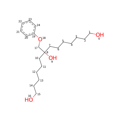 OCCCCCCCC(O)(CCCCCCO)COc1ccccc1